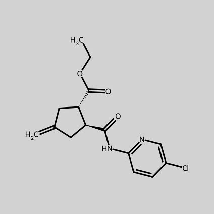 C=C1C[C@H](C(=O)Nc2ccc(Cl)cn2)[C@@H](C(=O)OCC)C1